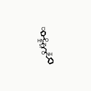 O=C(Cc1csc(NC(=O)c2ccc(Cl)cc2)n1)NCc1ccccc1